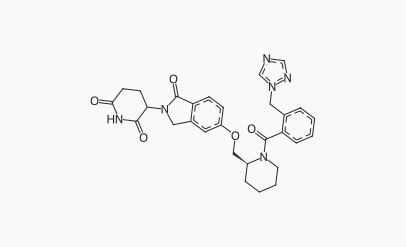 O=C1CCC(N2Cc3cc(OC[C@@H]4CCCCN4C(=O)c4ccccc4Cn4cncn4)ccc3C2=O)C(=O)N1